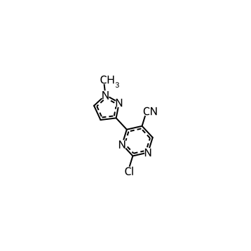 Cn1ccc(-c2nc(Cl)ncc2C#N)n1